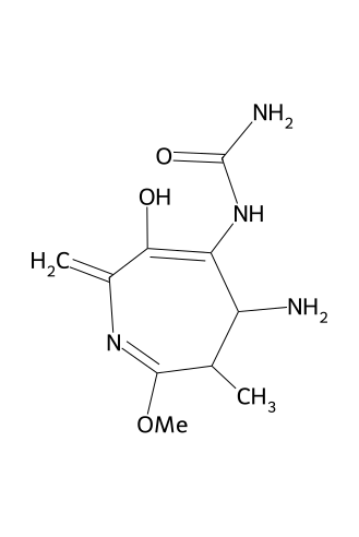 C=C1N=C(OC)C(C)C(N)C(NC(N)=O)=C1O